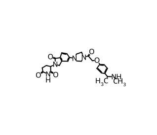 CNC(C)c1ccc(OCC(=O)N2CCN(c3ccc4c(c3)CN(C3CCC(=O)NC3=O)C4=O)CC2)cc1